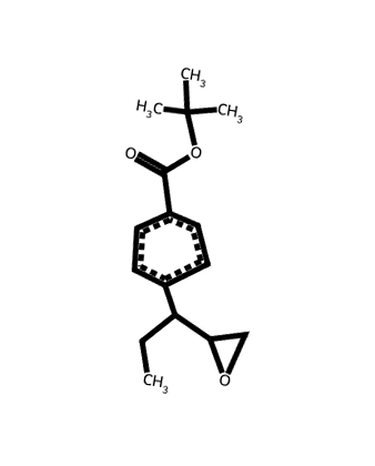 CCC(c1ccc(C(=O)OC(C)(C)C)cc1)C1CO1